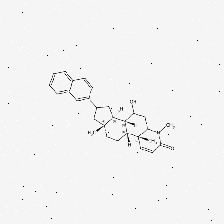 CN1C(=O)C=C[C@@]2(C)C1CC(O)[C@@H]1[C@H]2CC[C@]2(C)CC(c3ccc4ccccc4c3)C[C@@H]12